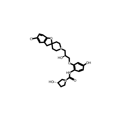 O=C(Nc1ccc(O)cc1OC[C@@H](O)CN1CCC2(CC1)Cc1cc(Cl)ccc1O2)N1CC[C@H](O)C1